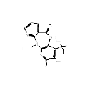 [2H]c1nc2c(c(C([2H])([2H])[2H])c1[2H])NC(=O)c1cccnc1N2C